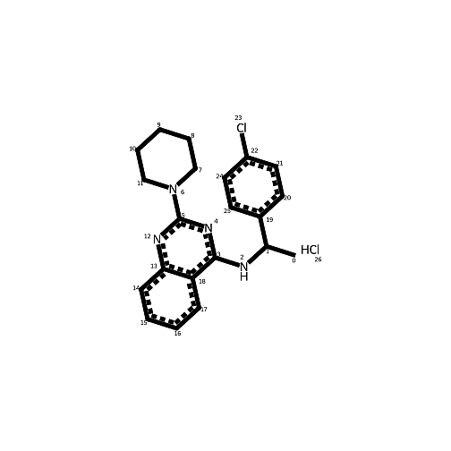 CC(Nc1nc(N2CCCCC2)nc2ccccc12)c1ccc(Cl)cc1.Cl